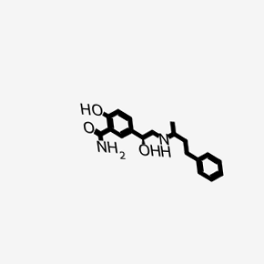 CC(CCc1ccccc1)NC[C@@H](O)c1ccc(O)c(C(N)=O)c1